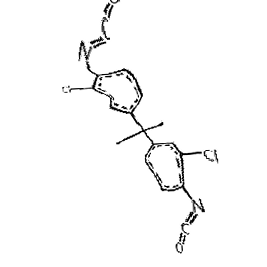 CC(C)(c1ccc(N=C=O)c(Cl)c1)c1ccc(N=C=O)c(Cl)c1